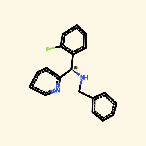 Fc1ccccc1[C@H](NCc1ccccc1)c1ccccn1